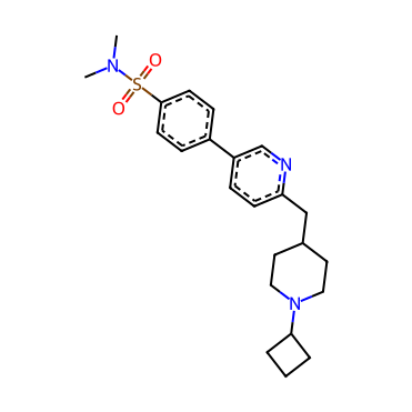 CN(C)S(=O)(=O)c1ccc(-c2ccc(CC3CCN(C4CCC4)CC3)nc2)cc1